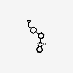 c1cc(-c2nc3ccccc3[nH]2)cc(N2CCN(CC3CC3)CC2)c1